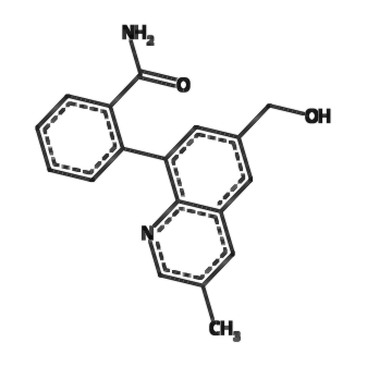 Cc1cnc2c(-c3ccccc3C(N)=O)cc(CO)cc2c1